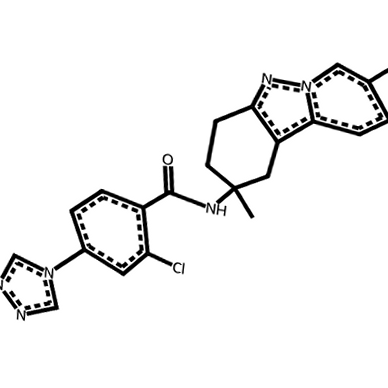 Cc1ccc2c3c(nn2c1)CCC(C)(NC(=O)c1ccc(-n2cnnc2)cc1Cl)C3